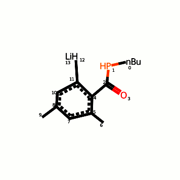 CCCCPC(=O)c1c(C)cc(C)cc1C.[LiH]